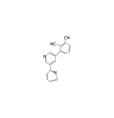 N#Cc1cccc(-c2cncc(-c3[c]cccn3)c2)c1C#N